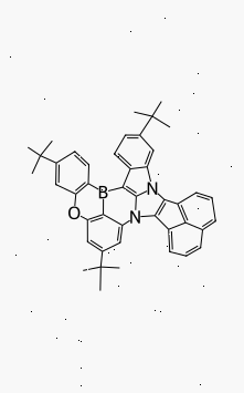 CC(C)(C)c1ccc2c(c1)Oc1cc(C(C)(C)C)cc3c1B2c1c2ccc(C(C)(C)C)cc2n2c4c5cccc6cccc(c65)c4n-3c12